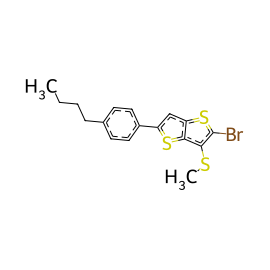 CCCCc1ccc(-c2cc3sc(Br)c(SC)c3s2)cc1